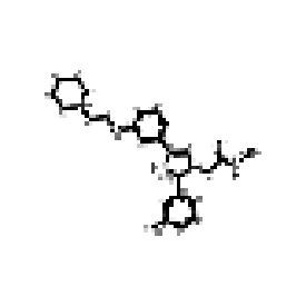 CC(C)NC(=O)CN1C=C(c2cccc(OCCN3CCCCC3)c2)NC1c1cccc(Cl)c1